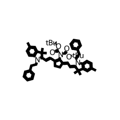 Cc1ccc2c(c1)C(C)(C)C(/C=C/C1=C(N(C(=O)OC(C)(C)C)C(=O)OC(C)(C)C)C(=C/C=C3\N(CCc4ccccc4)c4ccc(C)cc4C3(C)C)/CC1)=[N+]2CCc1ccccc1